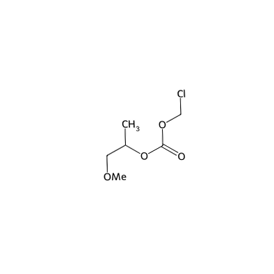 COCC(C)OC(=O)OCCl